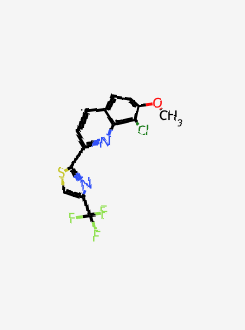 COc1ccc2[c]cc(-c3nc(C(F)(F)F)cs3)nc2c1Cl